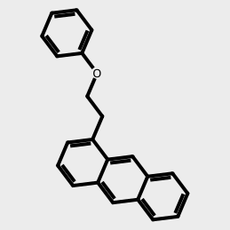 c1ccc(OCCc2cccc3cc4ccccc4cc23)cc1